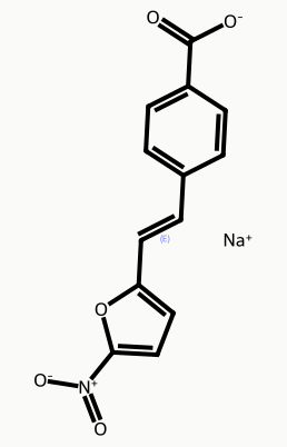 O=C([O-])c1ccc(/C=C/c2ccc([N+](=O)[O-])o2)cc1.[Na+]